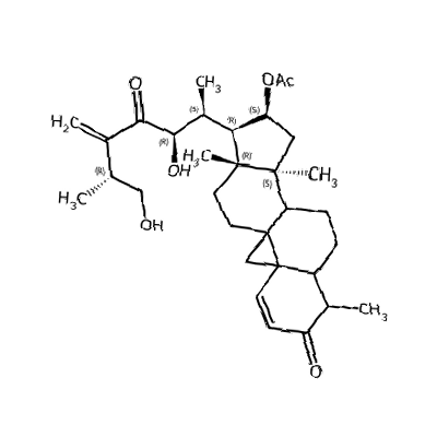 C=C(C(=O)[C@H](O)[C@@H](C)[C@H]1[C@@H](OC(C)=O)C[C@@]2(C)C3CCC4C(C)C(=O)C=CC45CC35CC[C@]12C)[C@@H](C)CO